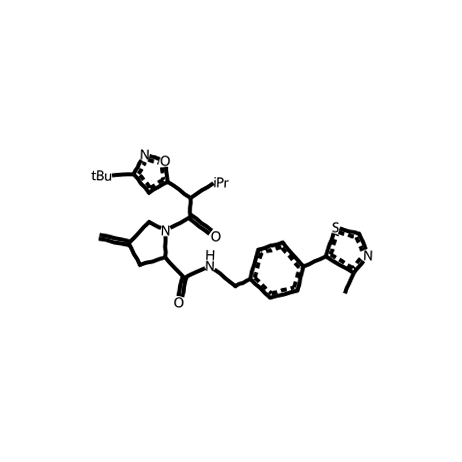 C=C1CC(C(=O)NCc2ccc(-c3scnc3C)cc2)N(C(=O)C(c2cc(C(C)(C)C)no2)C(C)C)C1